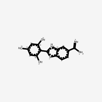 N=C(N)c1ccc2nc(-c3c(O)cc(O)cc3O)[nH]c2c1